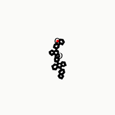 c1ccc2cc(-c3c4ccccc4c(-c4ccc5c(c4)oc4cc(-c6ccc7oc8ccccc8c7c6)c6ccccc6c45)c4ccccc34)ccc2c1